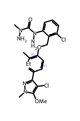 C=C(/C=C\C(OCc1c(Cl)cccc1N(N)C(=O)N(C)N)=C(\C)CC)c1nn(C)c(OC)c1Cl